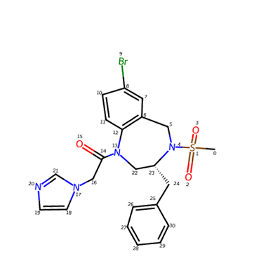 CS(=O)(=O)N1Cc2cc(Br)ccc2N(C(=O)Cn2ccnc2)C[C@H]1Cc1ccccc1